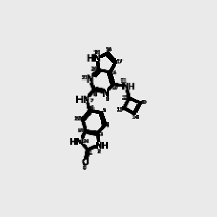 O=c1[nH]c2ccc(Nc3nc(NC4CCC4)c4cc[nH]c4n3)cc2[nH]1